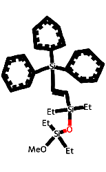 CC[Si](C=C[Si](c1ccccc1)(c1ccccc1)c1ccccc1)(CC)O[Si](CC)(CC)OC